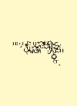 CC[C@@H](C(=O)[C@@H](C)[C@@H](O)[C@H](C)[C@@H]1O[C@@H]([C@@H](CC)C(=O)O)CC[C@@H]1C)[C@H]1O[C@]2(C=CC(NC(=O)Nc3ccc(C(F)(F)F)cc3)[C@]3(CC[C@@](C)([C@H]4CC[C@](O)(CC)[C@H](C)O4)O3)O2)[C@H](C)C[C@@H]1C